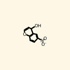 O=[N+]([O-])c1ccc2c(c1)C(O)C=CO2